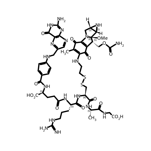 CO[C@@]12[C@H](COC(N)=O)C3=C(C(=O)C(C)=C(NCCSSC[C@H](NC(=O)[C@H](CCCNC(=N)N)NC(=O)CC[C@H](NC(=O)c4ccc(NCc5cnc6nc(N)[nH]c(=O)c6n5)cc4)C(=O)O)C(=O)N[C@@H](C)C(=O)NCC(=O)O)C3=O)N1C[C@@H]1N[C@@H]12